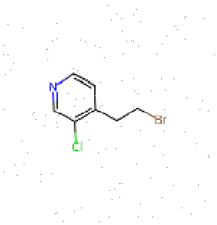 Clc1cnccc1CCBr